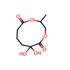 CC1COC(=O)C(O)(O)CCCC(=O)O1